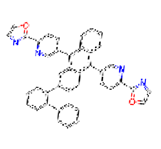 c1ccc(-c2ccccc2-c2ccc3c(-c4ccc(-c5ncco5)nc4)c4ccccc4c(-c4ccc(-c5ncco5)nc4)c3c2)cc1